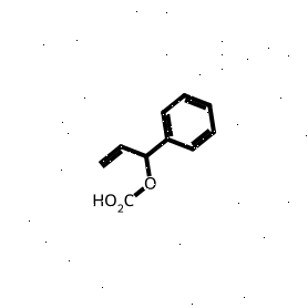 C=CC(OC(=O)O)c1ccccc1